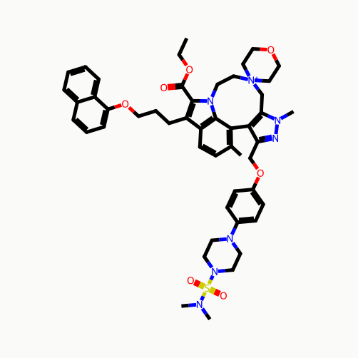 CCOC(=O)c1c(CCCOc2cccc3ccccc23)c2ccc(C)c3c2n1CC[N+]1(CCOCC1)Cc1c-3c(COc2ccc(N3CCN(S(=O)(=O)N(C)C)CC3)cc2)nn1C